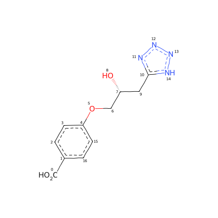 O=C(O)c1ccc(OC[C@H](O)Cc2nnn[nH]2)cc1